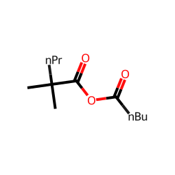 CCCCC(=O)OC(=O)C(C)(C)CCC